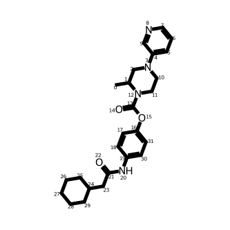 CC1CN(c2cccnc2)CCN1C(=O)Oc1ccc(NC(=O)CC2CCCCC2)cc1